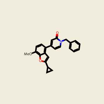 COc1ccc(-c2ccn(Cc3ccccc3)c(=O)c2)c2cc(C3CC3)oc12